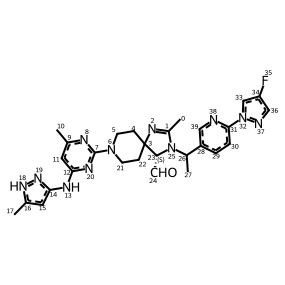 CC1=NC2(CCN(c3nc(C)cc(Nc4cc(C)[nH]n4)n3)CC2)[C@@H](C=O)N1C(C)c1ccc(-n2cc(F)cn2)nc1